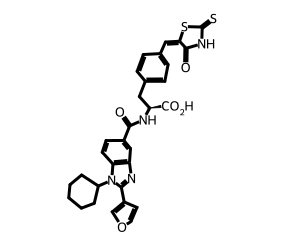 O=C1NC(=S)SC1=Cc1ccc(C[C@H](NC(=O)c2ccc3c(c2)nc(-c2ccoc2)n3C2CCCCC2)C(=O)O)cc1